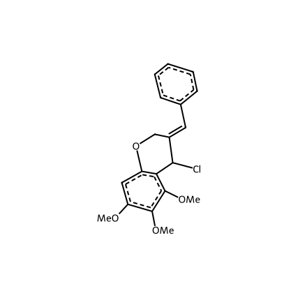 COc1cc2c(c(OC)c1OC)C(Cl)C(=Cc1ccccc1)CO2